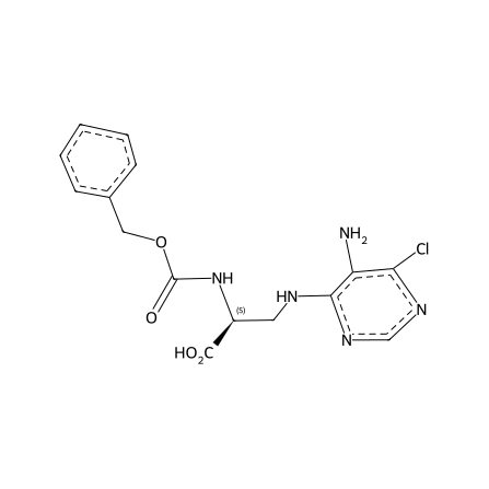 Nc1c(Cl)ncnc1NC[C@H](NC(=O)OCc1ccccc1)C(=O)O